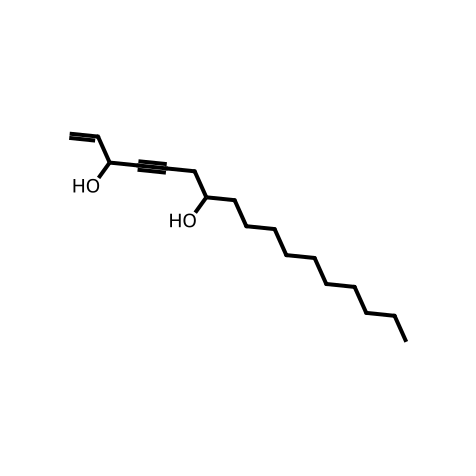 C=CC(O)C#CCC(O)CCCCCCCCCC